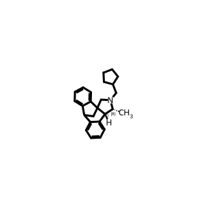 C[C@@H]1[C@@H]2c3ccccc3C3CC2(CN1CC1CCCC1)c1ccccc13